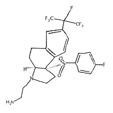 NCCN1CC[C@]2(S(=O)(=O)c3ccc(F)cc3)c3ccc(C(F)(C(F)(F)F)C(F)(F)F)cc3CC[C@H]12